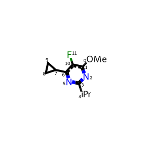 COc1nc(C(C)C)nc(C2CC2)c1F